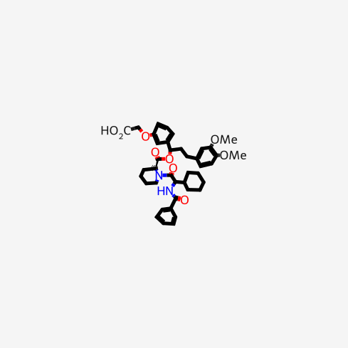 COc1ccc(CCC(OC(=O)[C@@H]2CCCCN2C(=O)C(NC(=O)c2ccccc2)C2CCCCC2)c2cccc(OCC(=O)O)c2)cc1OC